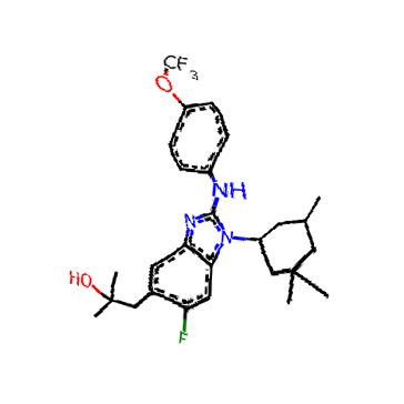 CC1CC(n2c(Nc3ccc(OC(F)(F)F)cc3)nc3cc(CC(C)(C)O)c(F)cc32)CC(C)(C)C1